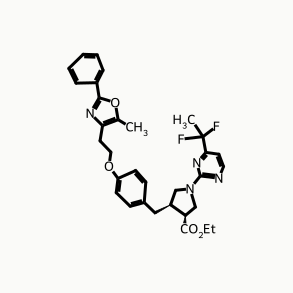 CCOC(=O)[C@@H]1CN(c2nccc(C(C)(F)F)n2)C[C@@H]1Cc1ccc(OCCc2nc(-c3ccccc3)oc2C)cc1